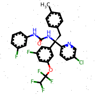 Cc1ccc(C[C@](NC(=O)Nc2cccc(F)c2)(c2cc(F)cc(OC(F)(F)C(F)F)c2)c2ccc(Cl)cn2)cc1